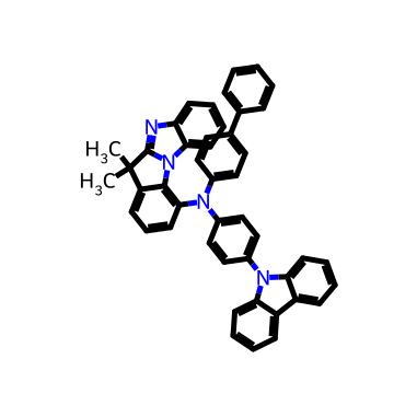 CC1(C)c2cccc(N(c3ccc(-c4ccccc4)cc3)c3ccc(-n4c5ccccc5c5ccccc54)cc3)c2-n2c1nc1ccccc12